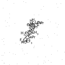 CCCc1cc(C(O)(C(F)(F)F)C(F)(F)F)ccc1N1C[C@H](C)N(C(=O)CN2C(=O)N[C@](C)(c3cccc(OC(C)C)c3)C2=O)CC1C